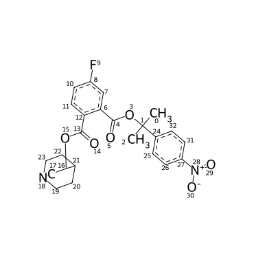 CC(C)(OC(=O)c1cc(F)ccc1C(=O)OC1CN2CCC1CC2)c1ccc([N+](=O)[O-])cc1